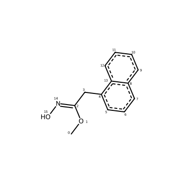 COC(Cc1cccc2ccccc12)=NO